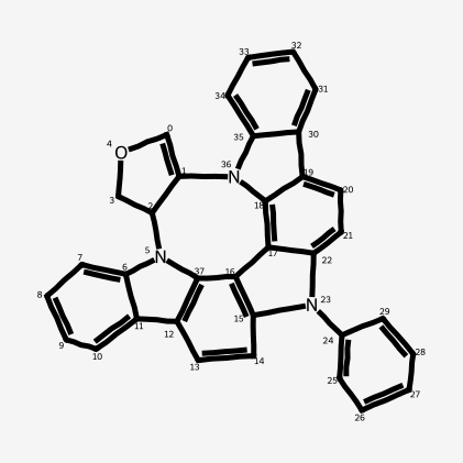 C1=C2C(CO1)n1c3ccccc3c3ccc4c(c5c6c(ccc5n4-c4ccccc4)c4ccccc4n62)c31